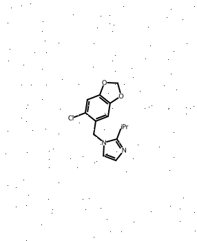 CC(C)c1nccn1Cc1cc2c(cc1Cl)OCO2